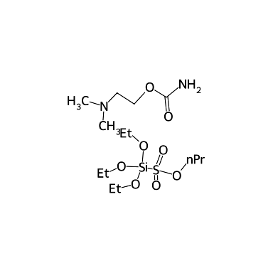 CCCOS(=O)(=O)[Si](OCC)(OCC)OCC.CN(C)CCOC(N)=O